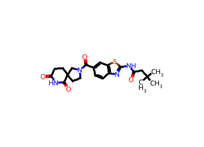 CC(C)(C)CC(=O)Nc1nc2ccc(C(=O)N3CCC4(CCC(=O)NC4=O)C3)cc2s1